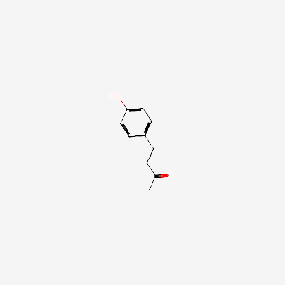 [CH2]C(=O)CCc1ccc(O)cc1